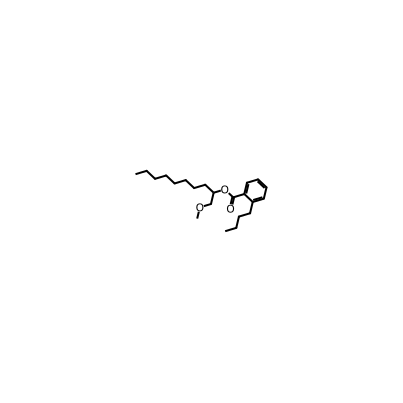 CCCCCCCCC(COC)OC(=O)c1ccccc1CCCC